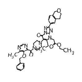 CCOC(=O)Cn1c(CC)c(N2CCN(C(=O)c3ncnc(C)c3OCc3ccccc3)CC2)c(=O)n2nc(-c3ccc4c(c3)CCOC4)nc12